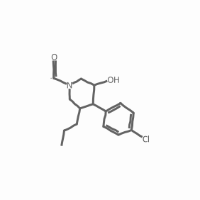 CCCC1CN([C]=O)CC(O)C1c1ccc(Cl)cc1